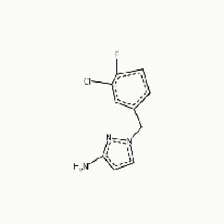 Nc1ccn(Cc2ccc(F)c(Cl)c2)n1